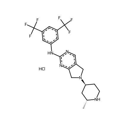 C[C@@H]1C[C@@H](N2Cc3cnc(Nc4cc(C(F)(F)F)cc(C(F)(F)F)c4)nc3C2)CCN1.Cl